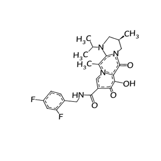 Cc1c2n(c(=O)c3c(O)c(=O)c(C(=O)NCc4ccc(F)cc4F)cn13)C[C@H](C)CN2C(C)C